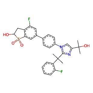 CC(C)(O)c1cn(-c2ccc(-c3cc(F)c4c(c3)S(=O)(=O)C(O)C4)cc2)c(C(C)(C)c2ccccc2F)n1